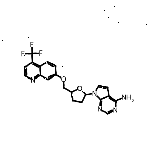 Nc1ncnc2c1ccn2C1CCC(COc2ccc3c(C(F)(F)F)ccnc3c2)O1